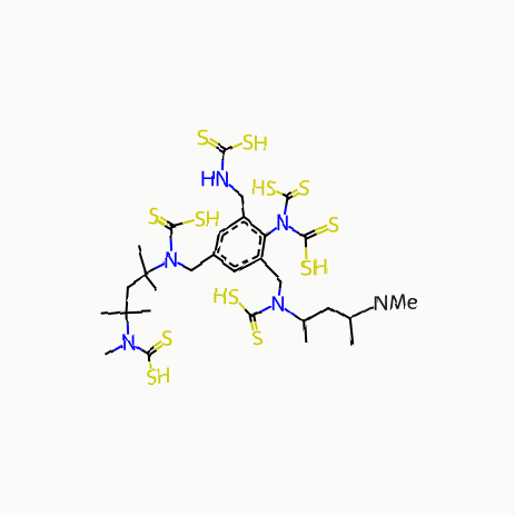 CNC(C)CC(C)N(Cc1cc(CN(C(=S)S)C(C)(C)CC(C)(C)N(C)C(=S)S)cc(CNC(=S)S)c1N(C(=S)S)C(=S)S)C(=S)S